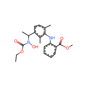 CCOC(=O)N(O)C(C)c1ccc(C)c(Nc2ccccc2C(=O)OC)c1C